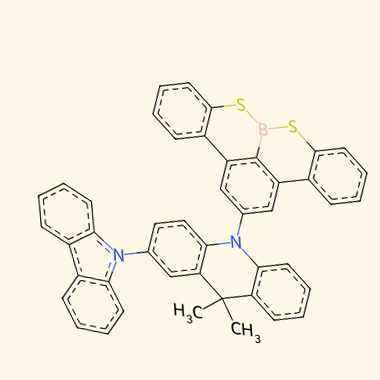 CC1(C)c2ccccc2N(c2cc3c4c(c2)-c2ccccc2SB4Sc2ccccc2-3)c2ccc(-n3c4ccccc4c4ccccc43)cc21